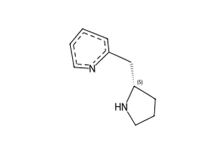 c1ccc(C[C@@H]2CCCN2)nc1